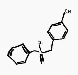 N#Cc1ccc(CP(=O)(O)c2ccccc2)cc1